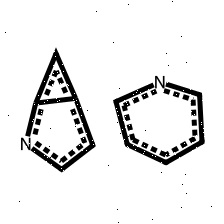 c1cc2cc-2n1.c1ccncc1